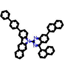 c1ccc(-c2ccc(-c3ccc4c(c3)c3cc5ccccc5cc3n4-c3nc(-c4cccc5ccccc45)c4ccc(-c5ccc6ccccc6c5)cc4n3)cc2)cc1